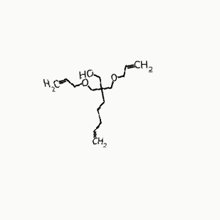 C=CCCCC(CO)(COCC=C)COCC=C